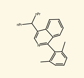 CCCC(CCC)c1cnc(-c2c(C)cccc2C)c2ccccc12